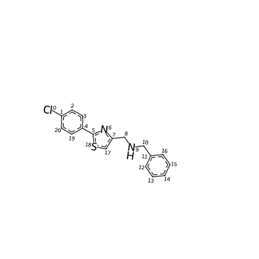 Clc1ccc(-c2nc(CNCc3ccccc3)cs2)cc1